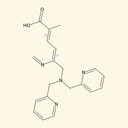 C=N/C(=C\C=C(/C)C(=O)O)CN(Cc1ccccn1)Cc1ccccn1